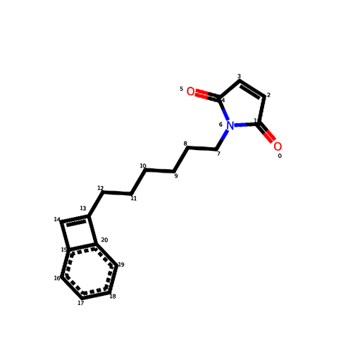 O=C1C=CC(=O)N1CCCCCCC1=Cc2ccccc21